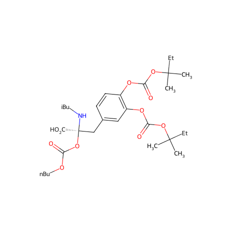 CCCCOC(=O)O[C@](Cc1ccc(OC(=O)OC(C)(C)CC)c(OC(=O)OC(C)(C)CC)c1)(NC(C)CC)C(=O)O